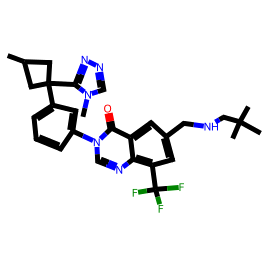 CC1CC(c2cccc(-n3cnc4c(C(F)(F)F)cc(CNCC(C)(C)C)cc4c3=O)c2)(c2nncn2C)C1